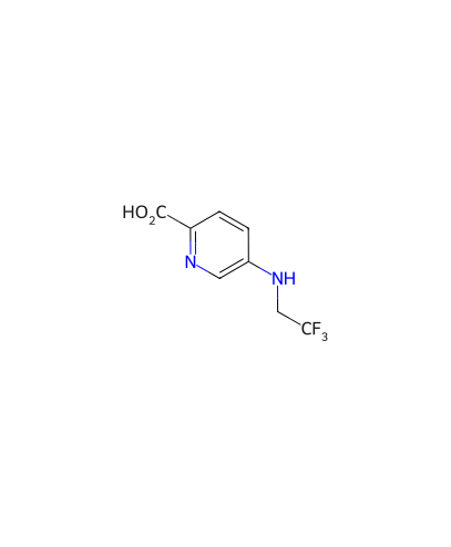 O=C(O)c1ccc(NCC(F)(F)F)cn1